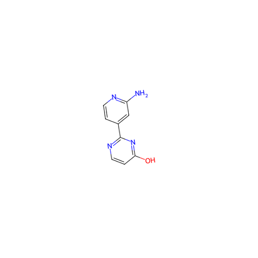 Nc1cc(-c2nccc(O)n2)ccn1